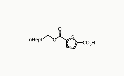 CCCCCCCCOC(=O)c1ccc(C(=O)O)s1